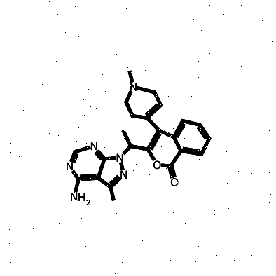 Cc1nn(C(C)c2oc(=O)c3ccccc3c2C2=CCN(C)CC2)c2ncnc(N)c12